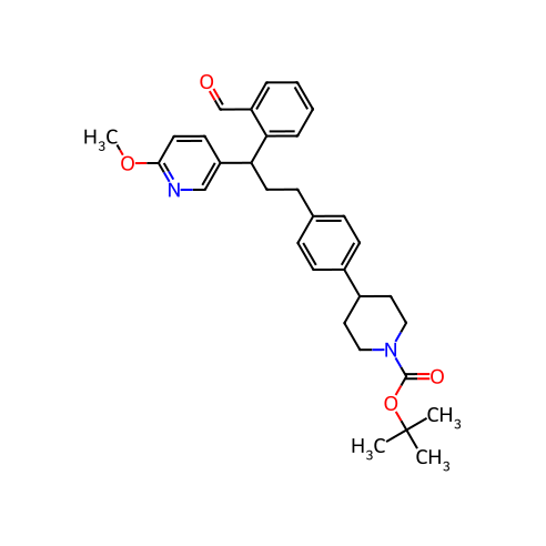 COc1ccc(C(CCc2ccc(C3CCN(C(=O)OC(C)(C)C)CC3)cc2)c2ccccc2C=O)cn1